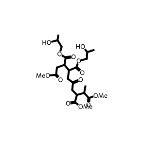 COC(=O)CC(C(=O)OCC(C)O)C(CC(=O)CC(C(=O)OC)C(C)C(=O)OC)C(=O)OCC(C)O